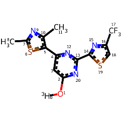 [3H]Oc1cc(-c2sc(C)nc2C)nc(-c2nc(C(F)(F)F)cs2)n1